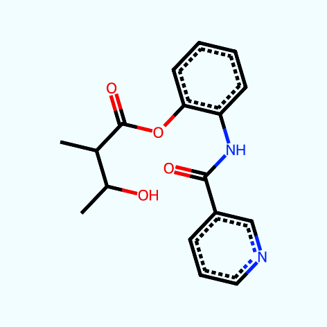 CC(O)C(C)C(=O)Oc1ccccc1NC(=O)c1cccnc1